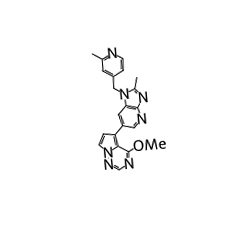 COc1ncnn2ccc(-c3cnc4nc(C)n(Cc5ccnc(C)c5)c4c3)c12